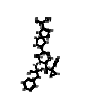 N#CC1(NC(=O)[C@H](CC(F)(F)Cc2ccccc2)NC(=O)N2CCC3(CC(C(=O)O)=NO3)C2)CC1